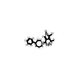 Cc1nnc(N2CCCC(c3ccccc3)CC2)c2cn(C)c(C)c12